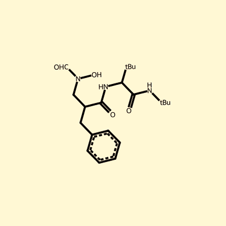 CC(C)(C)NC(=O)C(NC(=O)C(Cc1ccccc1)CN(O)C=O)C(C)(C)C